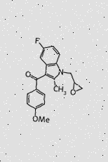 COc1ccc(C(=O)c2c(C)n(CC3CO3)c3ccc(F)cc23)cc1